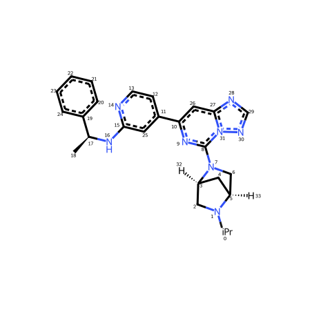 CC(C)N1C[C@@H]2C[C@H]1CN2c1nc(-c2ccnc(N[C@@H](C)c3ccccc3)c2)cc2ncnn12